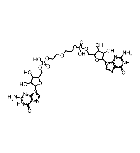 Nc1nc2c(ncn2C2OC(COP(=O)(O)OCCOCCOP(=O)(O)OCC3OC(n4cnc5c(=O)[nH]c(N)nc54)C(O)C3O)C(O)C2O)c(=O)[nH]1